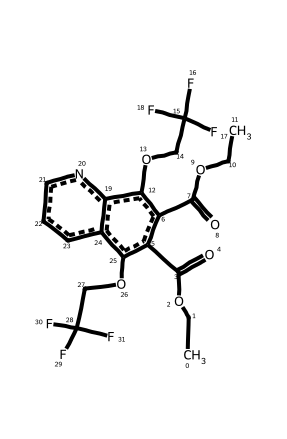 CCOC(=O)c1c(C(=O)OCC)c(OCC(F)(F)F)c2ncccc2c1OCC(F)(F)F